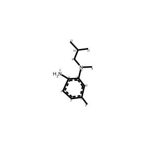 Cc1ccc(N)c(N(C)CC(C)C)c1